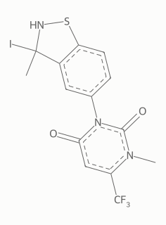 Cn1c(C(F)(F)F)cc(=O)n(-c2ccc3c(c2)C(C)(I)NS3)c1=O